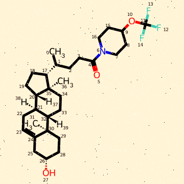 CC(CCC(=O)N1CCC(OC(F)(F)F)CC1)[C@H]1CC[C@H]2[C@@H]3CC=C4C[C@@H](O)CC[C@]4(C)[C@H]3CC[C@]12C